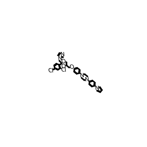 Clc1ccc(C2(Cn3ccnc3)OCC(COc3ccc(N4CCN(c5ccc(-n6cccc6)cc5)CC4)cc3)O2)c(Cl)c1